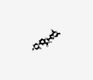 Cc1cn2nc(-c3nc4ccc(N5CCN(C)C[C@@H]5C)cc4c(=O)[nH]3)cc2c(C)n1